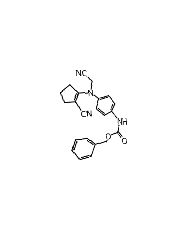 N#CCN(C1=C(C#N)CCC1)c1ccc(NC(=O)OCc2ccccc2)cc1